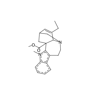 CCC1=CC2CN3CCc4c(n(C)c5ccccc45)C(C(=O)OC)(C2)C13